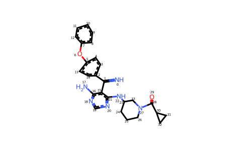 N=C(c1ccc(Oc2ccccc2)cc1)c1c(N)ncnc1NC1CCCN(C(=O)C2CC2)C1